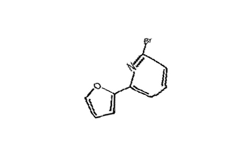 Brc1cccc(-c2ccco2)n1